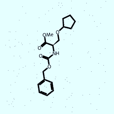 COC(=O)[C@@H](COC1CCCC1)NC(=O)OCc1ccccc1